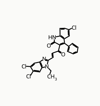 CCn1c(/C=C/C(=O)c2c(-c3ccccc3)c3cc(Cl)ccc3[nH]c2=O)nc2cc(Cl)c(Cl)cc21